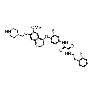 COc1cc2c(cc1OCC1CCNCC1)=NCCC=2Oc1ccc(NC(=O)C(=O)NCCc2ccccc2F)cc1F